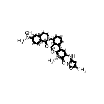 Cc1cc(Nc2cc(-c3cccc(N4CCc5cc(N(C)C)ccc5C4=O)c3CO)cn(C)c2=O)no1